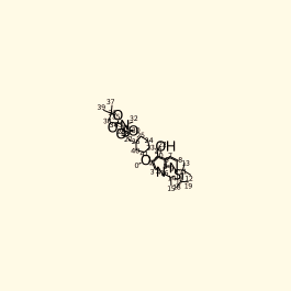 COc1cnc2c(ccn2[Si](C(C)C)(C(C)C)C(C)C)c1C(O)[C@H]1CC[C@H](CS(=O)(=O)N(C)C(=O)OC(C)(C)C)CC1